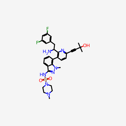 CN1CCN(S(=O)(=O)Nc2nn(C)c3c(-c4ccc(C#CC(C)(C)O)nc4C(N)Cc4cc(F)cc(F)c4)cccc23)CC1